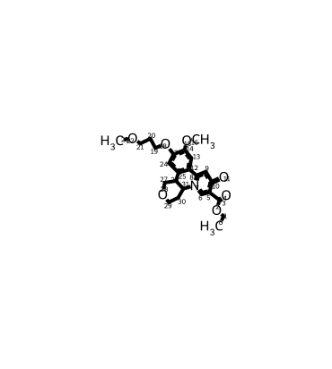 CCOC(=O)c1cn2c(cc1=O)-c1cc(OC)c(OCCCOC)cc1C1COCCC12